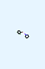 Fc1ccc(CONc2ccccc2)c(F)c1